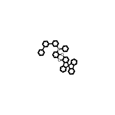 c1ccc(-c2cccc(-c3cccc(N(c4ccccc4)c4cccc5c4Oc4ccc6c(c4O5)-c4ccccc4C64c5ccccc5-c5ccccc54)c3)c2)cc1